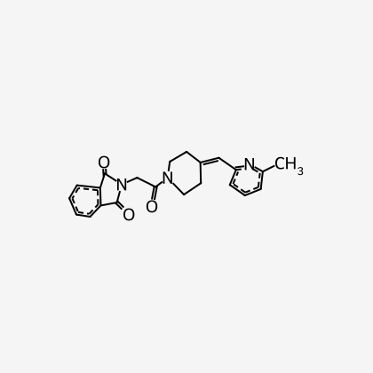 Cc1cccc(C=C2CCN(C(=O)CN3C(=O)c4ccccc4C3=O)CC2)n1